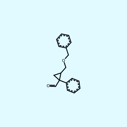 O=CC1(c2ccccc2)CC1COCc1ccccc1